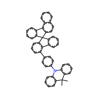 CC1(C)c2ccccc2N(c2ccc(-c3cccc4c3-c3ccccc3C43c4ccccc4-c4c3ccc3ccccc43)cc2)c2ccccc21